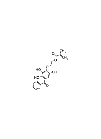 C=C(C)C(=O)OCCOc1c(O)cc(C(=O)c2ccccc2)c(O)c1O